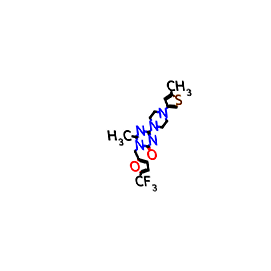 Cc1cc(N2CCN(c3nc(C)n(Cc4ccc(C(F)(F)F)o4)c(=O)n3)CC2)cs1